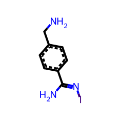 NCc1ccc(C(N)=NI)cc1